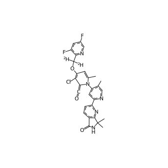 [2H]C([2H])(OC1=C(Cl)C(=C=O)N(c2cc(-c3ccc4c(n3)C(C)(C)NC4=O)ncc2C)C(C)=C1)c1ncc(F)cc1F